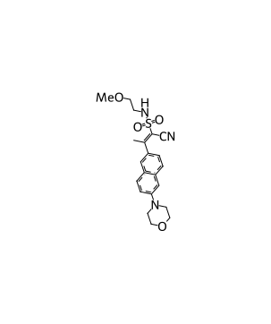 COCCNS(=O)(=O)/C(C#N)=C(\C)c1ccc2cc(N3CCOCC3)ccc2c1